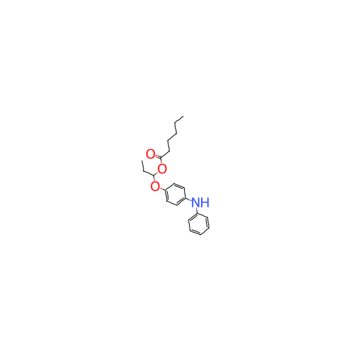 CCCCCC(=O)OC(CC)Oc1ccc(Nc2ccccc2)cc1